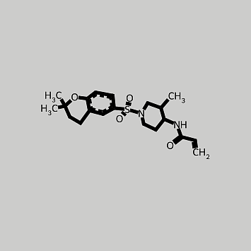 C=CC(=O)NC1CCN(S(=O)(=O)c2ccc3c(c2)CCC(C)(C)O3)CC1C